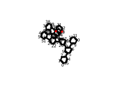 c1ccc(-c2ccc(-c3ccccc3)c(-c3ccc4c(c3)c3ccc5c(c3n4-c3ccccc3)C3(c4ccccc4-c4ccccc43)c3ccccc3-5)c2)cc1